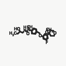 CCC(O)CNC(=O)N(C)c1ccc(COc2cc(F)cc(C3(OC)CCOCC3)c2)cc1